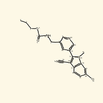 CCCOC(=O)NCc1cncc(-c2c(C#N)c3ccc(Cl)cc3n2C)c1